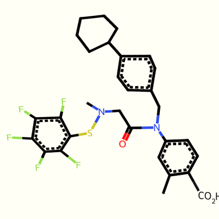 Cc1cc(N(Cc2ccc(C3CCCCC3)cc2)C(=O)CN(C)Sc2c(F)c(F)c(F)c(F)c2F)ccc1C(=O)O